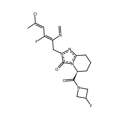 C=N/C(Cn1nc2n(c1=O)[C@H](C(=O)N1CC(F)C1)CCC2)=C(F)\C=C(/C)Cl